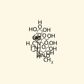 CC(=O)NC(CNc1ccccn1)[C@H](O)C(O[C@@H]1OC(CO)[C@@H](O[C@@H]2OC(CO)[C@H](O)[C@H](O)C2O)[C@H](O)C1NC(C)=O)C(O)CO